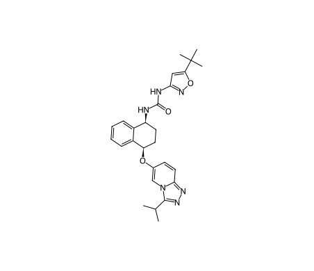 CC(C)c1nnc2ccc(O[C@@H]3CC[C@H](NC(=O)Nc4cc(C(C)(C)C)on4)c4ccccc43)cn12